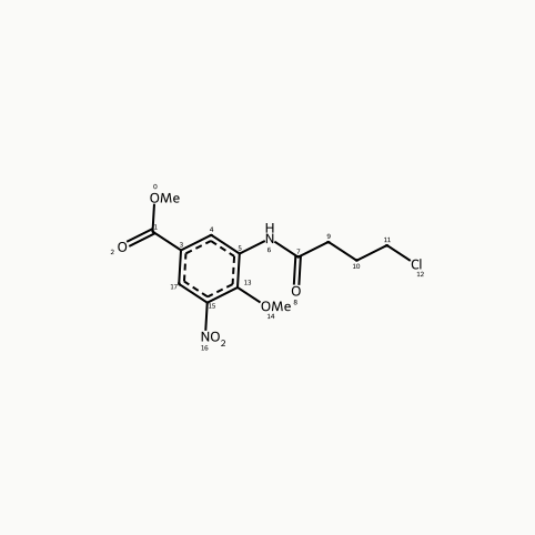 COC(=O)c1cc(NC(=O)CCCCl)c(OC)c([N+](=O)[O-])c1